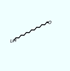 CCCCCCCCCCCCCC=O.[LiH]